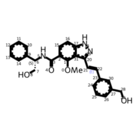 COc1c(C(=O)N[C@H](CO)c2ccccc2)ccc2[nH]nc(/C=C/c3cccc(CO)c3)c12